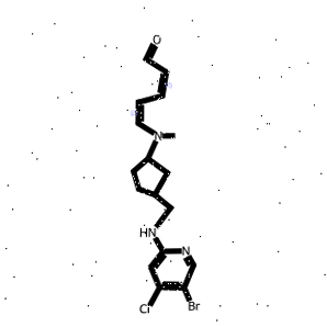 CN(/C=C\C=C/C=O)C1CCC(CNc2cc(Cl)c(Br)cn2)C1